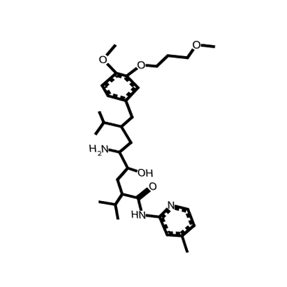 COCCCOc1cc(CC(CC(N)C(O)CC(C(=O)Nc2cc(C)ccn2)C(C)C)C(C)C)ccc1OC